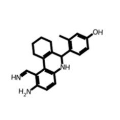 Cc1cc(O)ccc1C1Nc2ccc(N)c(C=N)c2C2=C1CCCC2